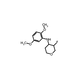 COc1ccc(OC)c(NC2CCO[CH]C2F)c1